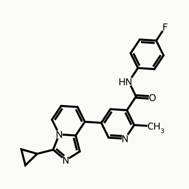 Cc1ncc(-c2cccn3c(C4CC4)ncc23)cc1C(=O)Nc1ccc(F)cc1